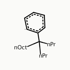 CCCCCCCCC(CCC)(CCC)c1[c]cccc1